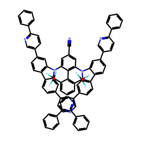 N#Cc1cc(-n2c3cc(-c4ccc(-c5ccccc5)nc4)ccc3c3ccc(-c4ccc(-c5ccccc5)nc4)cc32)c(-c2c(C(F)(F)F)cccc2C(F)(F)F)c(-n2c3cc(-c4ccc(-c5ccccc5)nc4)ccc3c3ccc(-c4ccc(-c5ccccc5)nc4)cc32)c1